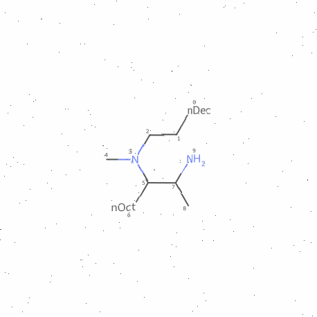 CCCCCCCCCCCCN(C)C(CCCCCCCC)C(C)N